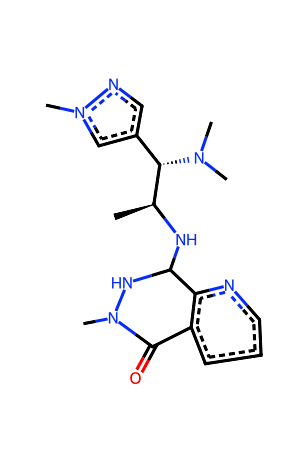 C[C@H](NC1NN(C)C(=O)c2cccnc21)[C@H](c1cnn(C)c1)N(C)C